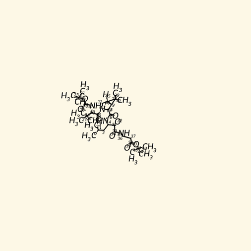 CC(C)CC(NC(=O)[C@@H]1C2[C@H](CN1C(=O)[C@@H](NC(=O)OC(C)(C)C)C(C)(C)C)C2(C)C)C(=O)C(=O)NCCC(=O)OC(C)(C)C